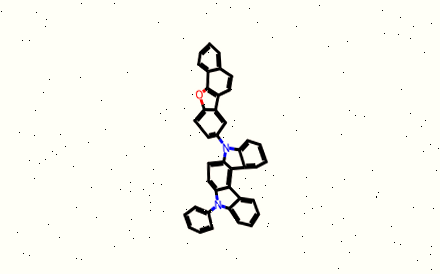 c1ccc(-n2c3ccccc3c3c4c5ccccc5n(-c5ccc6oc7c8ccccc8ccc7c6c5)c4ccc32)cc1